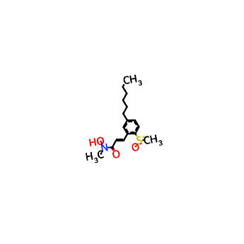 CCCCCCc1ccc([S+](C)[O-])c(C=CC(=O)N(C)O)c1